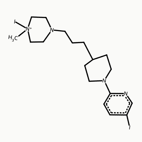 C[N+]1(I)CCN(CCCC2CCN(c3ccc(I)cn3)CC2)CC1